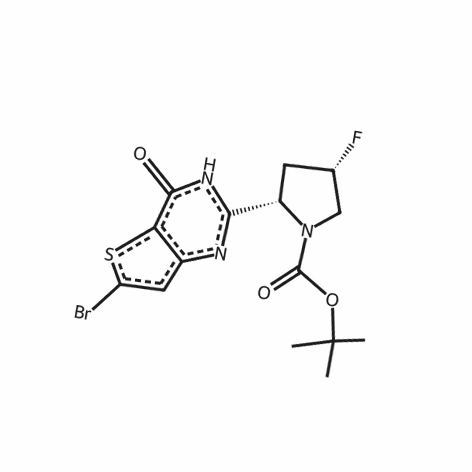 CC(C)(C)OC(=O)N1C[C@@H](F)C[C@H]1c1nc2cc(Br)sc2c(=O)[nH]1